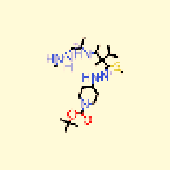 CNN/C=C(/C)NC(C)C(C)(/C(=N\NC1CCN(C(=O)OC(C)(C)C)CC1)SC)C(C)C